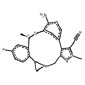 C[C@H]1Oc2cc(cnc2N)-c2c(nn(C)c2C#N)CN2CC2c2ccc(F)cc21